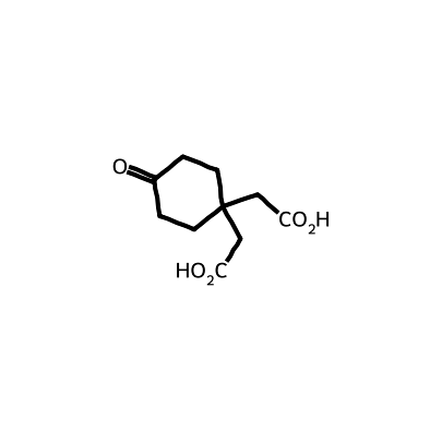 O=C(O)CC1(CC(=O)O)CCC(=O)CC1